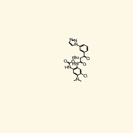 CN(C)c1cc(NC(=O)OC(C)(C)C)c(NC(=O)CC(=O)c2cccc(-n3ccnn3)c2)cc1Cl